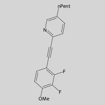 CCCCCc1ccc(C#Cc2ccc(OC)c(F)c2F)nc1